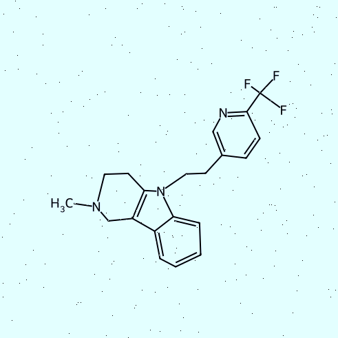 CN1CCc2c(c3ccccc3n2CCc2ccc(C(F)(F)F)nc2)C1